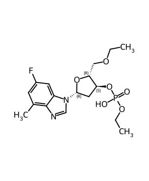 CCOC[C@H]1O[C@@H](n2cnc3c(C)cc(F)cc32)C[C@@H]1OP(=O)(O)OCC